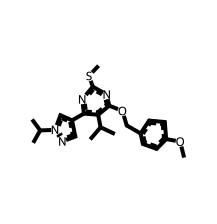 COc1ccc(COc2nc(SC)nc(-c3cnn(C(C)C)c3)c2C(C)C)cc1